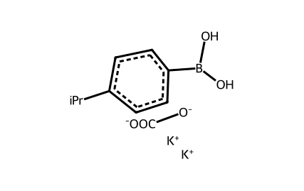 CC(C)c1ccc(B(O)O)cc1.O=C([O-])[O-].[K+].[K+]